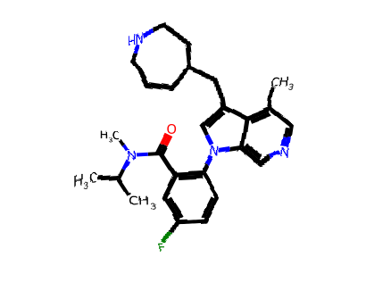 Cc1cncc2c1c(CC1CCCNCC1)cn2-c1ccc(F)cc1C(=O)N(C)C(C)C